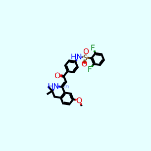 COc1ccc2c(c1)/C(=C/C(=O)c1ccc(NS(=O)(=O)c3c(F)cccc3F)cc1)NC(C)(C)C2